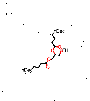 [2H]OC[C@@H](COC(=O)CCCCCCCCCCCCC)OC(=O)CCCCCCCCCCCCC